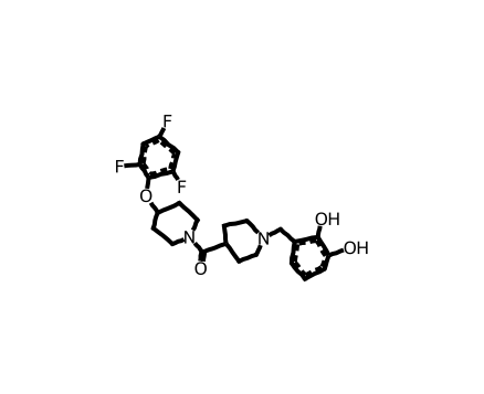 O=C(C1CCN(Cc2cccc(O)c2O)CC1)N1CCC(Oc2c(F)cc(F)cc2F)CC1